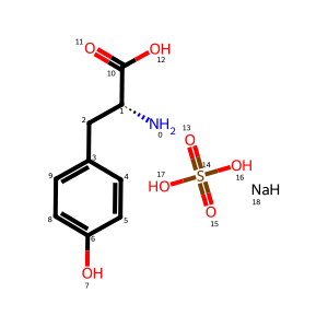 N[C@H](Cc1ccc(O)cc1)C(=O)O.O=S(=O)(O)O.[NaH]